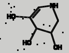 OC1=CNCC(O)C1O